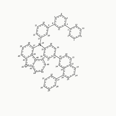 c1ccc(-c2cccc(-c3cccc(N(c4ccc(-c5ccc6cccc(-c7ccccc7)c6c5)cc4)c4cccc5oc6ccccc6c45)c3)c2)cc1